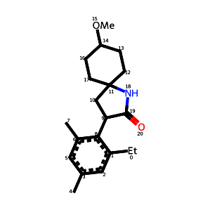 CCc1cc(C)cc(C)c1C1CC2(CCC(OC)CC2)NC1=O